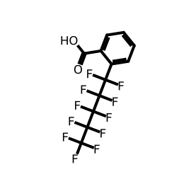 O=C(O)c1ccccc1C(F)(F)C(F)(F)C(F)(F)C(F)(F)C(F)(F)F